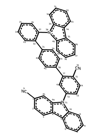 N#Cc1ccc2c3ccccc3n(-c3ccc(C#N)c(-c4ccc(-c5ccccc5-n5c6ccccc6c6ccccc65)cc4)c3)c2c1